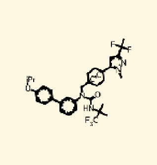 CC(C)Oc1ccc(-c2cccc(N(CC34CCC(c5cc(C(C)(F)F)nn5C)(CC3)CC4)C(=O)NC(C)(C)C(F)(F)F)c2)cc1